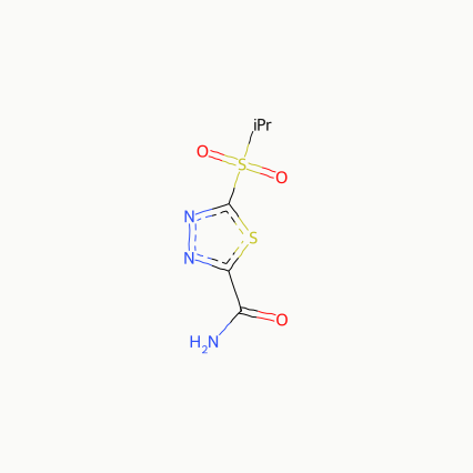 CC(C)S(=O)(=O)c1nnc(C(N)=O)s1